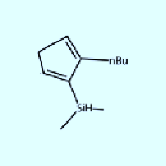 CCCCC1=CC[C]=C1[SiH](C)C